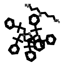 CC(C)([CH2][Sn]([CH2]C(C)(C)c1ccccc1)([CH2]C(C)(C)c1ccccc1)[O][Sn]([CH2]C(C)(C)c1ccccc1)([CH2]C(C)(C)c1ccccc1)[CH2]C(C)(C)c1ccccc1)c1ccccc1.NCCCNCCN